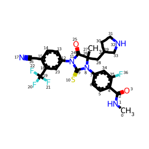 CNC(=O)c1ccc(N2C(=S)N(c3ccc(C#N)c(C(F)(F)F)c3)C(=O)C2(C)CC2CCNC2)cc1F